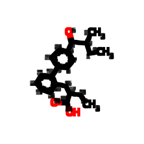 CCC(C)C(=O)c1ccc(-c2ccccc2CC(CC)C(=O)O)cc1